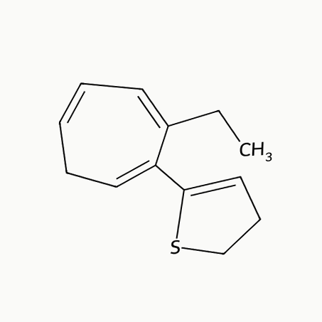 CCC1=CC=CCC=C1C1=CCCS1